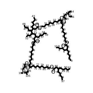 CCCCCC(CCCCC)CC(=O)OCCCCCCCCCC1(CCCCCCCCCOC(=O)CC(CCCCC)C(CCCC)C(CCC)CC(CCCCC)CC(=O)OCCCCCCCCCC2(CCCCCCCCCOC(=O)CC(CCCCC)CCCCC)OCC(CN(C)C(C)C)O2)OCC(CN(CC)CC)O1